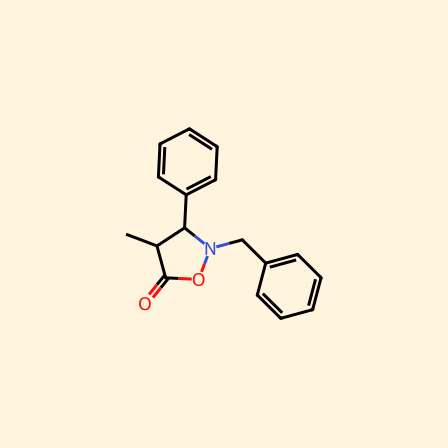 CC1C(=O)ON(Cc2ccccc2)C1c1ccccc1